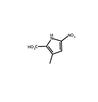 Cc1cc([N+](=O)[O-])[nH]c1C(=O)O